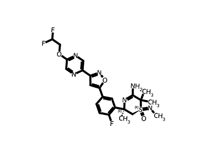 CN=[S@@]1(=O)C[C@@](C)(c2cc(-c3cc(-c4cnc(OCC(F)F)cn4)no3)ccc2F)N=C(N)C1(C)C